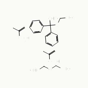 C=C(C)C(=O)O.C=C(C)C(=O)O.O=CCOC(C=O)(c1ccccc1)c1ccccc1.O=CCOCC=O